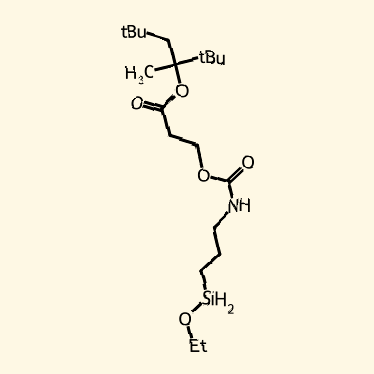 CCO[SiH2]CCCNC(=O)OCCC(=O)OC(C)(CC(C)(C)C)C(C)(C)C